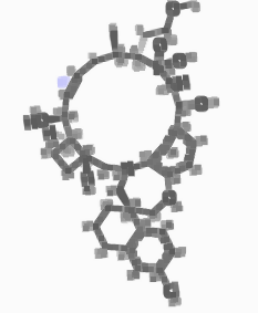 COCC[C@H]1[C@H](C)C/C=C\[C@H](O)[C@@H]2CC[C@H]2CN2C[C@@]3(CCCc4cc(Cl)ccc43)COc3ccc(cc32)C(=O)NS1(=O)=O